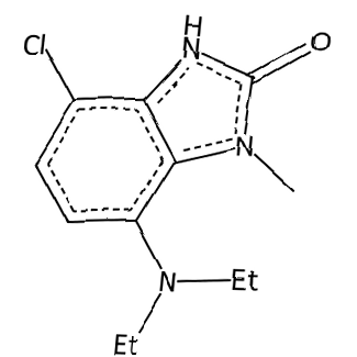 CCN(CC)c1ccc(Cl)c2[nH]c(=O)n(C)c12